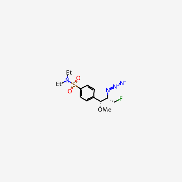 CCN(CC)S(=O)(=O)c1ccc([C@@H](OC)[C@@H](CF)N=[N+]=[N-])cc1